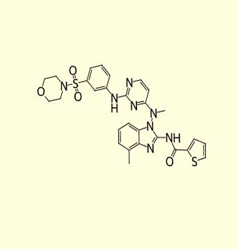 Cc1cccc2c1nc(NC(=O)c1cccs1)n2N(C)c1ccnc(Nc2cccc(S(=O)(=O)N3CCOCC3)c2)n1